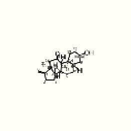 C=C1CC[C@H]2[C@@H]3CC[C@H]4C[C@H](O)CC[C@]4(C)[C@H]3C(=O)C[C@]12C